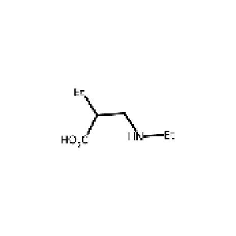 CCNCC(CC)C(=O)O